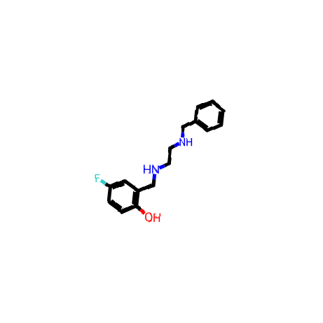 Oc1ccc(F)cc1CNCCNCc1ccccc1